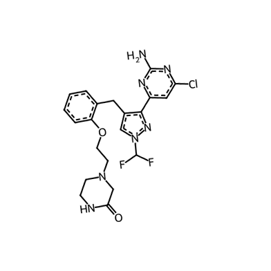 Nc1nc(Cl)cc(-c2nn(C(F)F)cc2Cc2ccccc2OCCN2CCNC(=O)C2)n1